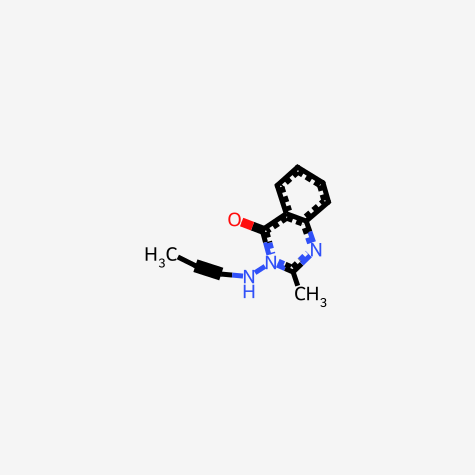 CC#CNn1c(C)nc2ccccc2c1=O